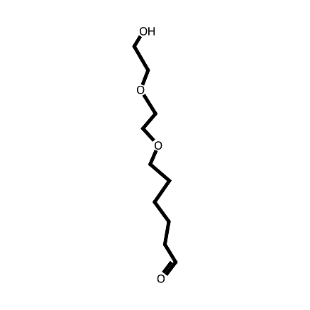 O=CCCCCCOCCOCCO